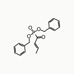 CC=CC(=O)P(=O)(OCc1ccccc1)OCc1ccccc1